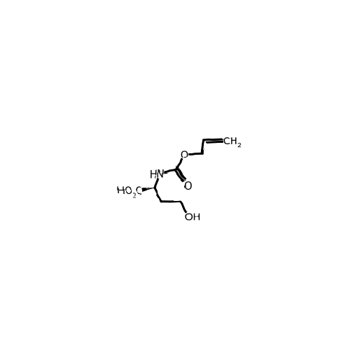 C=CCOC(=O)N[C@@H](CCO)C(=O)O